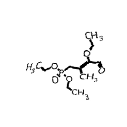 CCOC(C=O)=C(C)CP(=O)(OCC)OCC